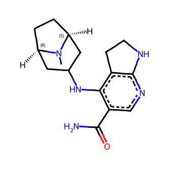 CN1[C@@H]2CC[C@H]1CC(Nc1c(C(N)=O)cnc3c1CCN3)C2